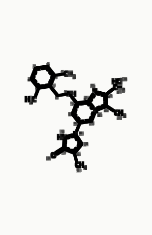 Cc1cccc(C)c1CNc1cc(-n2cc(C)c(=O)[nH]2)cn2c(C)c(C)nc12.Cl